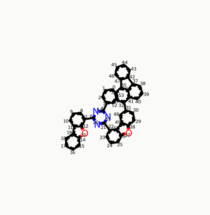 c1ccc(-c2nc(-c3cccc4c3oc3ccccc34)nc(-c3cccc4oc5ccc(-c6ccc7c8c(cccc68)-c6ccccc6-7)cc5c34)n2)cc1